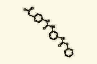 O=C(Nc1ccc(C[SH](=O)=O)cc1)Nc1cccc(NC(=O)Oc2ccccc2)c1